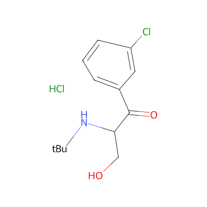 CC(C)(C)NC(CO)C(=O)c1cccc(Cl)c1.Cl